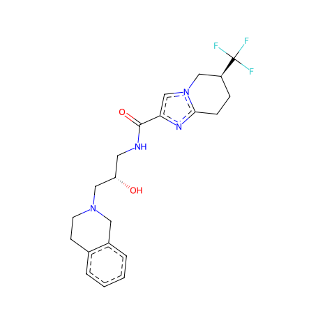 O=C(NC[C@H](O)CN1CCc2ccccc2C1)c1cn2c(n1)CC[C@H](C(F)(F)F)C2